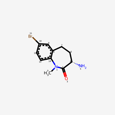 CN1C(=O)[C@@H](N)CCc2cc(Br)ccc21